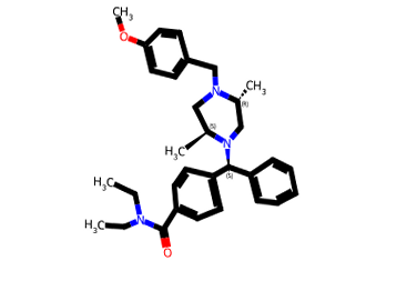 CCN(CC)C(=O)c1ccc([C@H](c2ccccc2)N2C[C@@H](C)N(Cc3ccc(OC)cc3)C[C@@H]2C)cc1